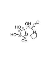 O=C=C([C@@H](O)[C@H]1O[C@H](O)[C@@H](O)[C@H]1O)N1CCCC1